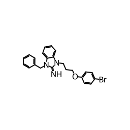 N=c1n(CCCOc2ccc(Br)cc2)c2ccccc2n1Cc1ccccc1